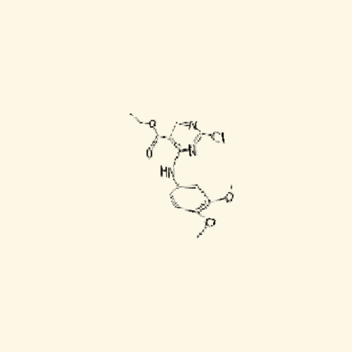 CCOC(=O)c1cnc(Cl)nc1Nc1ccc(OC)c(OC)c1